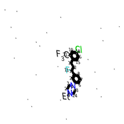 CCN1CCN(c2cccc([C@H](F)CCc3ccc(Cl)cc3C(F)(F)F)c2)CC1